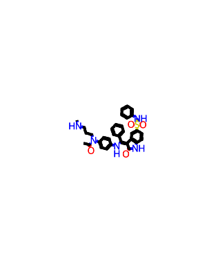 CNCCCN(C(C)=O)c1ccc(N/C(=C2\C(=O)Nc3ccc(S(=O)(=O)Nc4ccccc4)cc32)c2ccccc2)cc1